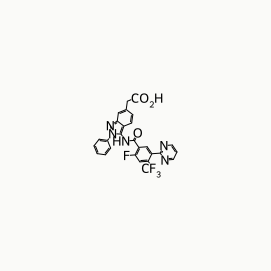 O=C(O)Cc1ccc2c(NC(=O)c3cc(-c4ncccn4)c(C(F)(F)F)cc3F)n(-c3ccccc3)nc2c1